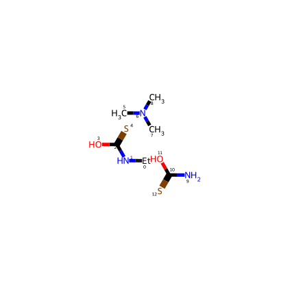 CCNC(O)=S.CN(C)C.NC(O)=S